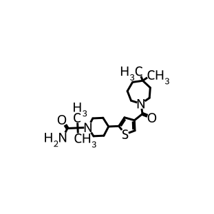 CC1(C)CCCN(C(=O)c2csc(C3CCN(C(C)(C)C(N)=O)CC3)c2)CC1